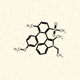 CCn1c(C)c(-c2c(S(C)(=O)=O)ccc(C)c2-c2ccc(OC)cc2)c2ccccc21